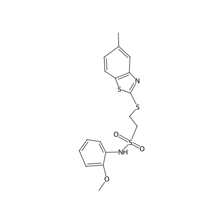 COc1ccccc1NS(=O)(=O)CCSc1nc2cc(C)ccc2s1